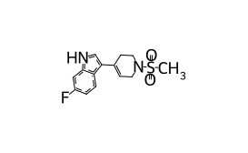 CS(=O)(=O)N1CC=C(c2c[nH]c3cc(F)ccc23)CC1